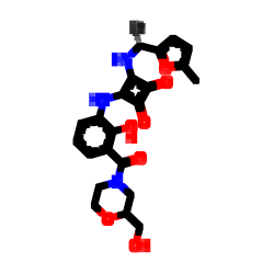 CC[C@@H](Nc1c(Nc2cccc(C(=O)N3CCOC(CO)C3)c2O)c(=O)c1=O)c1ccc(C)o1